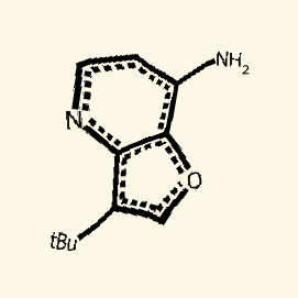 CC(C)(C)c1coc2c(N)ccnc12